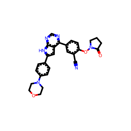 N#Cc1cc(-c2ncnc3[nH]c(-c4ccc(N5CCOCC5)cc4)cc23)ccc1ON1CCCC1=O